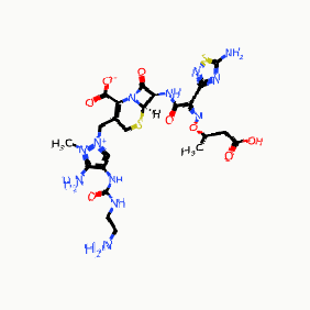 CC(CC(=O)O)O/N=C(\C(=O)N[C@@H]1C(=O)N2C(C(=O)[O-])=C(C[n+]3cc(NC(=O)NCCN)c(N)n3C)CS[C@H]12)c1nsc(N)n1